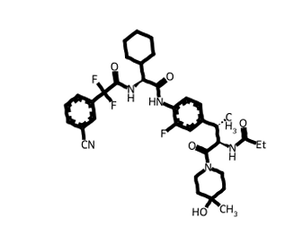 CCC(=O)N[C@@H](C(=O)N1CCC(C)(O)CC1)[C@@H](C)c1ccc(NC(=O)[C@@H](NC(=O)C(F)(F)c2cccc(C#N)c2)C2CCCCC2)c(F)c1